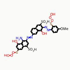 COc1ccc(N=Nc2c(S(=O)(=O)O)cc3ccc(N=Nc4cc(S(=O)(=O)O)c5cc(SOOO)cc(O)c5c4N)cc3c2O)c(SOOO)c1